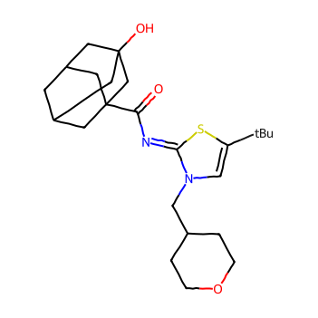 CC(C)(C)c1cn(CC2CCOCC2)/c(=N/C(=O)C23CC4CC(CC(O)(C4)C2)C3)s1